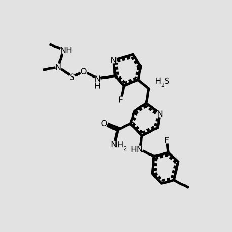 CNN(C)SONc1nccc(Cc2cc(C(N)=O)c(Nc3ccc(C)cc3F)cn2)c1F.S